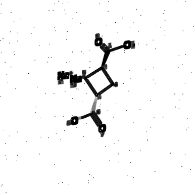 O=C([O-])[C@H]1C[C@H](C(=O)[O-])C1.[Na+].[Na+]